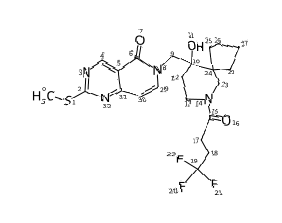 CSc1ncc2c(=O)n(CC3(O)CCN(C(=O)CCC(F)(F)F)CC34CCCC4)ccc2n1